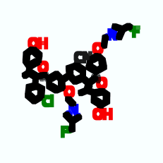 CC1=C(c2cccc(Cl)c2)[C@H](c2ccc(OCCN3CC(CF)C3)c(-c3cc(C#N)cc(C4=C(C)c5cc(O)ccc5O[C@H]4c4ccc(OCCN5CC(CF)C5)cc4)c3)c2)Oc2cc(O)ccc21